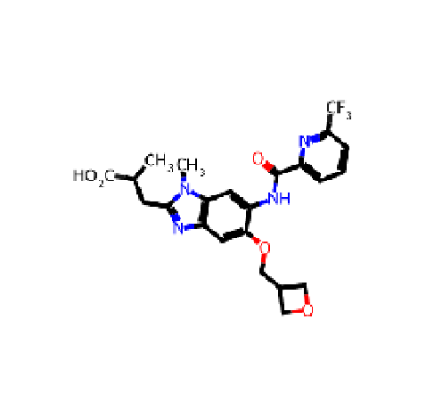 CC(Cc1nc2cc(OCC3COC3)c(NC(=O)c3cccc(C(F)(F)F)n3)cc2n1C)C(=O)O